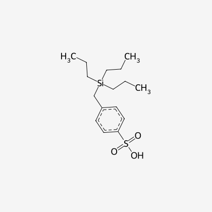 CCC[Si](CCC)(CCC)Cc1ccc(S(=O)(=O)O)cc1